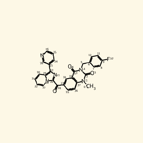 Cn1c(=O)n(Cc2ccc(F)cc2)c(=O)c2cc(C(=O)c3nc(-c4cccnc4)c4ccccn34)ccc21